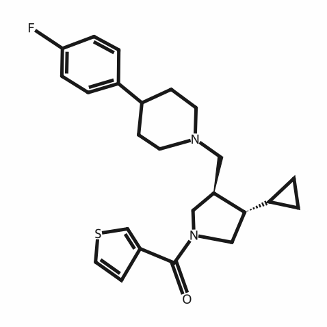 O=C(c1ccsc1)N1C[C@@H](CN2CCC(c3ccc(F)cc3)CC2)[C@H](C2CC2)C1